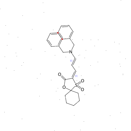 O=C1OC2(CCCCC2)S(=O)(=O)/C1=C/C=C/N(Cc1ccccc1)Cc1ccccc1